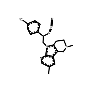 Cc1cnc2c(c1)c1c(n2CC(N=[N+]=[N-])c2ccc(C#N)cc2)CCN(C)C1